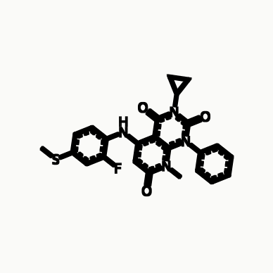 CSc1ccc(Nc2cc(=O)n(C)c3c2c(=O)n(C2CC2)c(=O)n3-c2ccccc2)c(F)c1